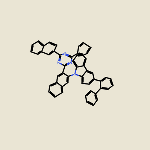 c1ccc(-c2nc(-c3ccc4ccccc4c3)nc(-c3cc4ccccc4cc3-n3c4ccccc4c4cc(-c5ccccc5-c5ccccc5)ccc43)n2)cc1